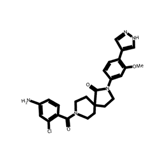 COc1cc(N2CCC3(CCN(C(=O)c4ccc(N)cc4Cl)CC3)C2=O)ccc1-c1cn[nH]c1